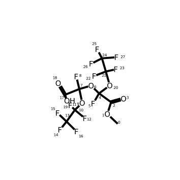 COC(=O)C(F)(OC(F)(OC(F)(F)C(F)(F)F)C(=O)O)OC(F)(F)C(F)(F)F